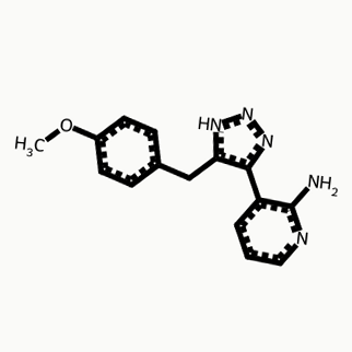 COc1ccc(Cc2[nH]nnc2-c2cccnc2N)cc1